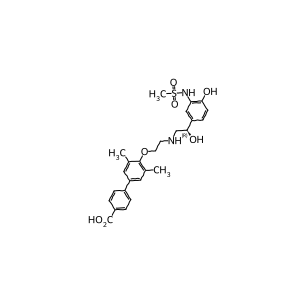 Cc1cc(-c2ccc(C(=O)O)cc2)cc(C)c1OCCNC[C@H](O)c1ccc(O)c(NS(C)(=O)=O)c1